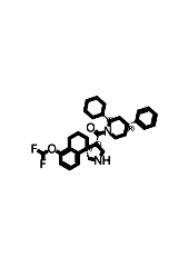 O=C([C@@H]1CNC[C@]12CCCc1c(OC(F)F)cccc12)N1CC[C@@H](c2ccccc2)C[C@H]1C1CCCCC1